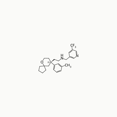 Cc1cccc([C@@]2(CCNCc3cncc(C(F)(F)F)c3)CCOC3(CCCC3)C2)c1